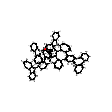 c1ccc2c(c1)-c1c(cccc1-n1c3ccccc3c3cc(-n4c5ccccc5c5ccccc54)ccc31)-c1cc3c4ccccc4c4ccccc4c3cc1-c1cccc(-n3c4ccccc4c4cc(-n5c6ccccc6c6ccccc65)ccc43)c1-2